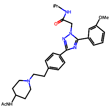 COc1cccc(-c2nc(-c3ccc(CCN4CCC(NC(C)=O)CC4)cc3)nn2CC(=O)NC(C)C)c1